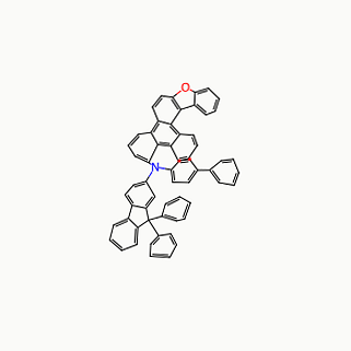 c1ccc(-c2ccc(N(c3ccc4c(c3)C(c3ccccc3)(c3ccccc3)c3ccccc3-4)c3cccc4c5ccc6oc7ccccc7c6c5c5ccccc5c34)cc2)cc1